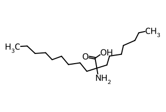 CCCCCCCCCC(N)(CCCCCCC)C(=O)O